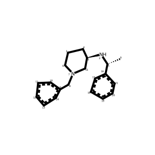 C[C@@H](N[C@@H]1CCCN(Cc2ccccc2)C1)c1ccccc1